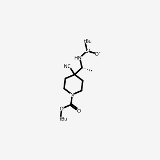 C[C@@H](N[S+]([O-])C(C)(C)C)C1(C#N)CCN(C(=O)OC(C)(C)C)CC1